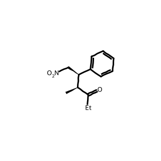 CCC(=O)[C@@H](C)[C@@H](C[N+](=O)[O-])c1ccccc1